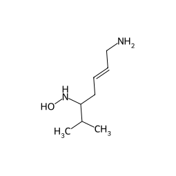 CC(C)C(C/C=C/CN)NO